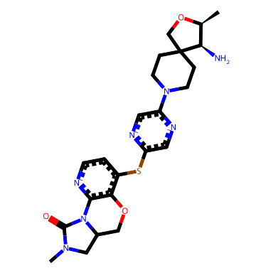 C[C@@H]1OCC2(CCN(c3cnc(Sc4ccnc5c4OCC4CN(C)C(=O)N54)cn3)CC2)[C@@H]1N